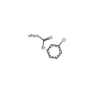 CCCCCC(=O)CC.Clc1ccccc1